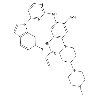 C=CC(=O)Nc1cc(Nc2nccc(-n3ccc4ccc(F)cc43)n2)c(OC)cc1N1CCC(N2CCN(C)CC2)CC1